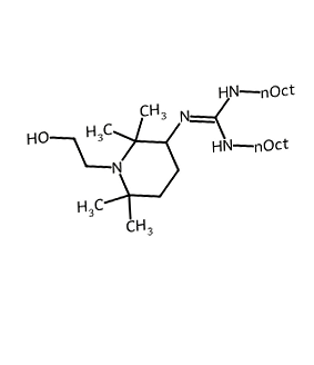 CCCCCCCCNC(=NC1CCC(C)(C)N(CCO)C1(C)C)NCCCCCCCC